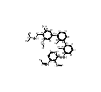 C=Nc1c(/N=C\C)ccnc1Nc1cccc(-c2cccc(-c3cc(F)c(CNC(C)C)c(OC)c3)c2C)c1C